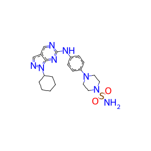 NS(=O)(=O)N1CCN(c2ccc(Nc3ncc4cnn(C5CCCCC5)c4n3)cc2)CC1